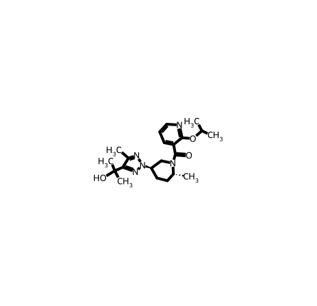 Cc1nn([C@@H]2CC[C@@H](C)N(C(=O)c3cccnc3OC(C)C)C2)nc1C(C)(C)O